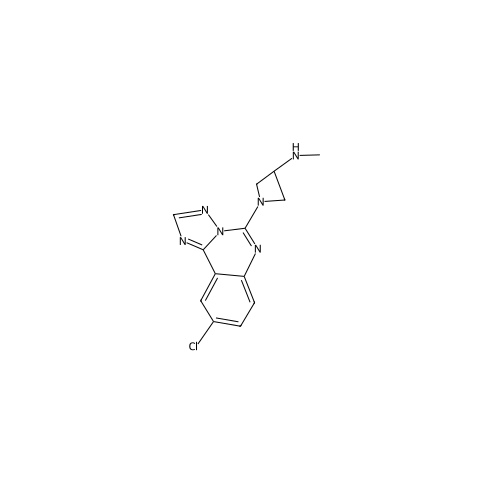 CNC1CN(c2nc3ccc(Cl)cc3c3ncnn23)C1